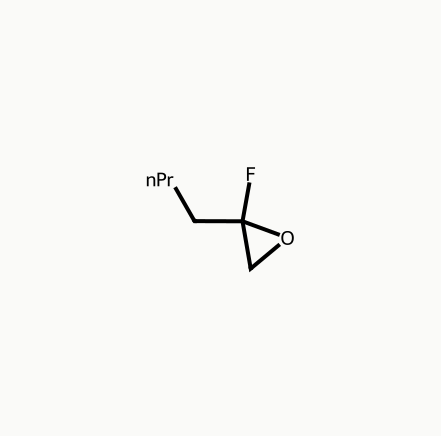 CCCCC1(F)CO1